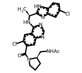 CC(=O)NC[C@H]1CCCN1C(=O)c1cc2ncnc(N[C@@H](C)c3nc4cc(Cl)ccc4[nH]3)c2cc1Cl